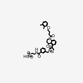 Cc1cccc(OCCCC(=O)N2CCC(O)c3c(-c4cnn(Cc5cccc(C(=O)NCCS(=O)(=O)O)c5)c4)cccc32)c1C